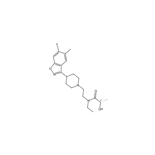 CCN(CCN1CCC(c2noc3cc(F)c(C)cc23)CC1)C(=O)[C@H](C)O